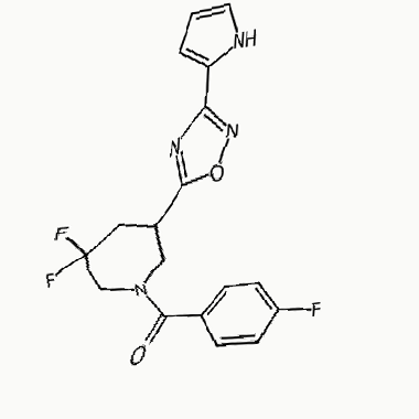 O=C(c1ccc(F)cc1)N1CC(c2nc(-c3ccc[nH]3)no2)CC(F)(F)C1